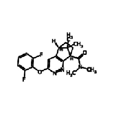 CN(C)C(=O)[C@@]12CC[C@@H](c3cc(Oc4c(F)cccc4F)nnc31)C2(C)C